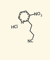 Cl.N#CCCCc1ncccc1[N+](=O)[O-]